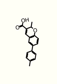 Cc1ccc(-c2ccc3c(c2)C=C(C(=O)O)C(C)O3)cc1